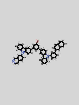 Brc1cc(-c2ccc3c(c2)c2ccccc2n3-c2cccc(-c3ccc4ccccc4c3)c2)cc(-c2ccc3c(c2)c2ccccc2n3-c2ccc3ccncc3c2)c1